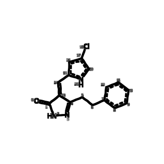 O=C1NN=C(CCc2ccccc2)C1=Cc1cc(Cl)c[nH]1